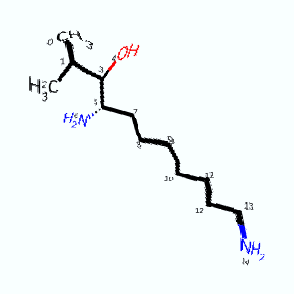 CC(C)C(O)[C@@H](N)CCCCCCCN